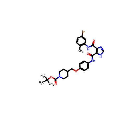 Cc1ccc(Br)cc1NC(=O)c1nc[nH]c1C(=O)Nc1ccc(OCC2CCN(C(=O)OC(C)(C)C)CC2)cc1